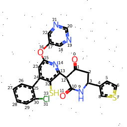 O=C1CC(c2ccsc2)NC(=O)C1c1nc(Oc2cncnc2)cc(-c2ccccc2Cl)c1S